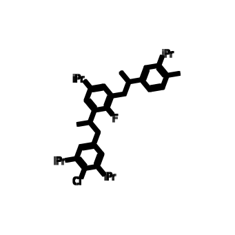 Cc1ccc(C(C)Cc2cc(C(C)C)cc(C(C)Cc3cc(C(C)C)c(Cl)c(C(C)C)c3)c2F)cc1C(C)C